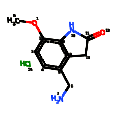 COc1ccc(CN)c2c1NC(=O)C2.Cl